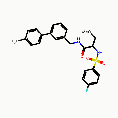 COCC(NS(=O)(=O)c1ccc(F)cc1)C(=O)NCc1cccc(-c2ccc(C(F)(F)F)cc2)c1